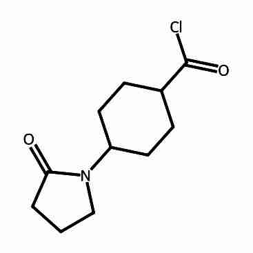 O=C(Cl)C1CCC(N2CCCC2=O)CC1